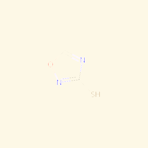 Sc1ncon1